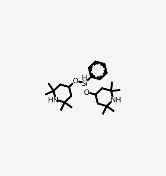 CC1(C)CC(O[SiH](OC2CC(C)(C)NC(C)(C)C2)c2ccccc2)CC(C)(C)N1